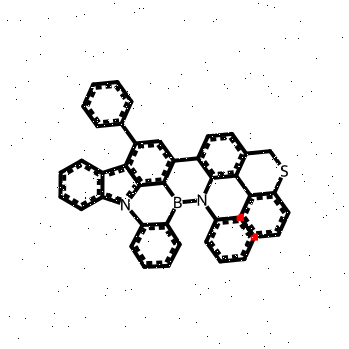 c1ccc(-c2cc3c4c5c2c2ccccc2n5-c2ccccc2B4N(c2ccccc2)c2c-3ccc3c2-c2ccccc2SC3)cc1